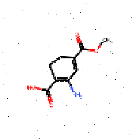 COC(=O)C1=CC(N)=C(C(=O)O)CC1